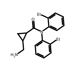 CCc1ccccc1N(C(=O)C1CC1CN)c1ccccc1CC